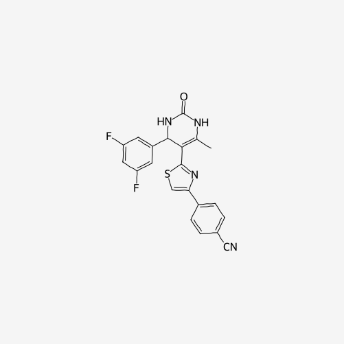 CC1=C(c2nc(-c3ccc(C#N)cc3)cs2)C(c2cc(F)cc(F)c2)NC(=O)N1